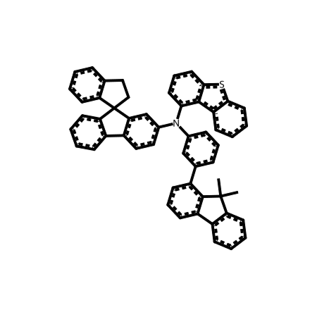 CC1(C)c2ccccc2-c2cccc(-c3cccc(N(c4ccc5c(c4)C4(CCc6ccccc64)c4ccccc4-5)c4cccc5sc6ccccc6c45)c3)c21